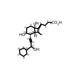 CC1C(=CCCC(=O)O)[C@@]2(C(C)C)CC[C@@H](O)[C@H](C#CC(O)C3CCCCC3)[C@@H]12